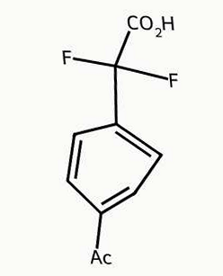 CC(=O)c1ccc(C(F)(F)C(=O)O)cc1